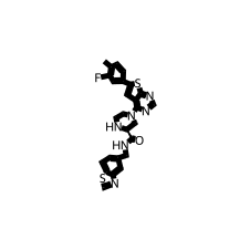 Cc1ccc(-c2cc3c(N4CCN[C@H](C(=O)NCc5ccc6scnc6c5)C4)ncnc3s2)cc1F